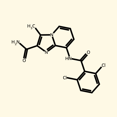 Cc1c(C(N)=O)nc2c(NC(=O)c3c(Cl)cccc3Cl)cccn12